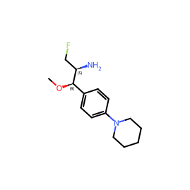 CO[C@H](c1ccc(N2CCCCC2)cc1)[C@H](N)CF